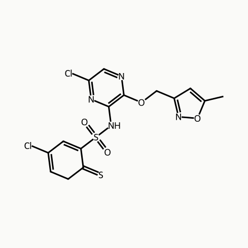 Cc1cc(COc2ncc(Cl)nc2NS(=O)(=O)C2=CC(Cl)=CCC2=S)no1